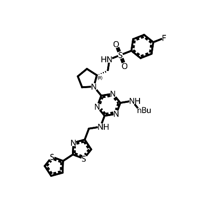 CCCCNc1nc(NCc2csc(-c3cccs3)n2)nc(N2CCC[C@@H]2CNS(=O)(=O)c2ccc(F)cc2)n1